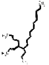 [CH2]CCCCCCCCCC(CCC)C(CCC)CCCC